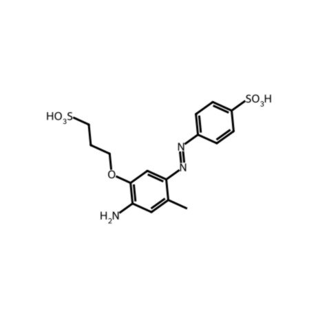 Cc1cc(N)c(OCCCS(=O)(=O)O)cc1N=Nc1ccc(S(=O)(=O)O)cc1